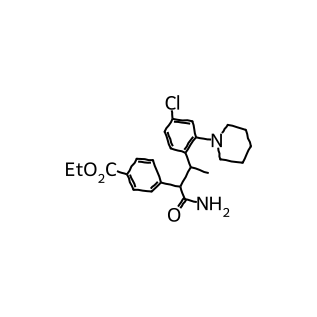 CCOC(=O)c1ccc(C(C(N)=O)C(C)c2ccc(Cl)cc2N2CCCCC2)cc1